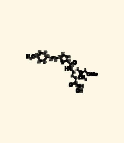 COCOC[C@H](C[C@H](C)C(=O)NO)NC(=O)c1ccc(C#Cc2ccc(C)cc2)s1